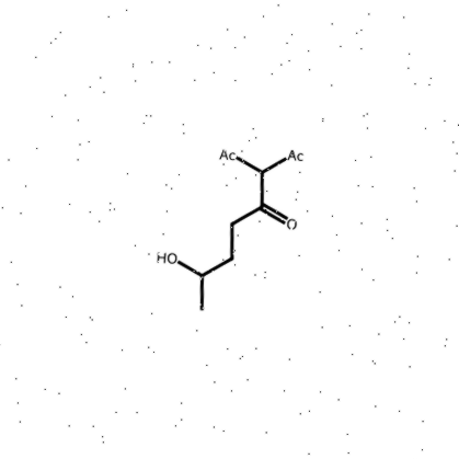 CC(=O)C(C(C)=O)C(=O)CCC(C)O